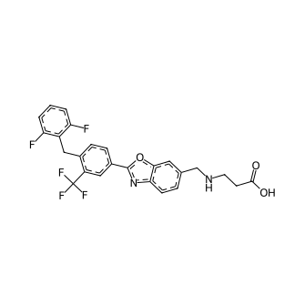 O=C(O)CCNCc1ccc2nc(-c3ccc(Cc4c(F)cccc4F)c(C(F)(F)F)c3)oc2c1